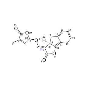 CC1=C[C@H](O/C=C2/C(=O)OC3=C4CC=CC=C4C[C@@H]32)OC1=O